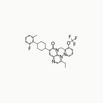 CCc1cnc2cc(C3CCC(c4c(C)cccc4F)CC3)c(=O)n(Cc3ncccc3OC(F)(F)F)c2n1